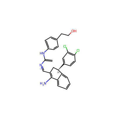 C=C(/N=C\C1=C(N)c2ccccc2[C@H](c2ccc(Cl)c(Cl)c2)C1)Nc1ccc(CCO)cc1